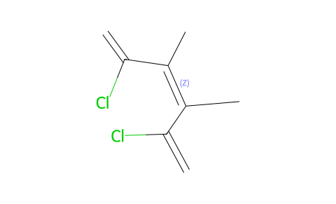 C=C(Cl)/C(C)=C(/C)C(=C)Cl